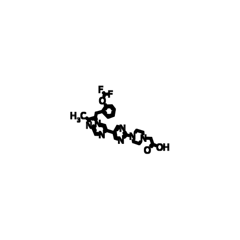 Cc1nc2cnc(-c3cnc(N4CCN(CC(=O)O)CC4)nc3)cn2c1Cc1ccccc1OC(F)F